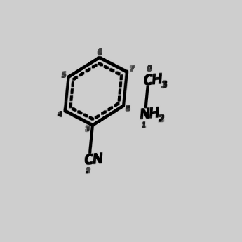 CN.N#Cc1ccccc1